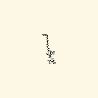 CCCCCCCCCCCCCCCCCCCCCCCCOC(=O)NC(COC1CCC(O)C(O)C1O)C(O)CC(O)CC